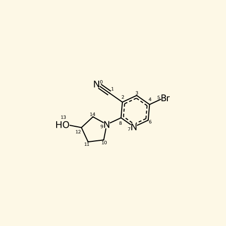 N#Cc1cc(Br)cnc1N1CCC(O)C1